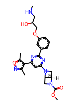 CNCC(O)COc1cccc(-c2nc(-c3c(C)noc3C)cc(N3C[C@@H]4C3CN4C(=O)OC)n2)c1